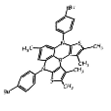 Cc1cc2c3c(c1)N(c1ccc(C(C)(C)C)cc1)c1sc(C)c(C)c1B3c1c(sc(C)c1C)N2c1ccc(C(C)(C)C)cc1